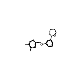 Cc1ccc(COc2cccc(C3SCCCS3)c2)cc1C